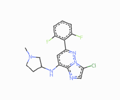 CN1CCC(Nc2cc(-c3c(F)cccc3F)nn3c(Cl)cnc23)C1